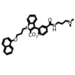 CN(C)CCCNC(=O)c1cccc(-c2c(C(=O)O)n(CCCOc3cccc4ccccc34)c3ccccc23)c1